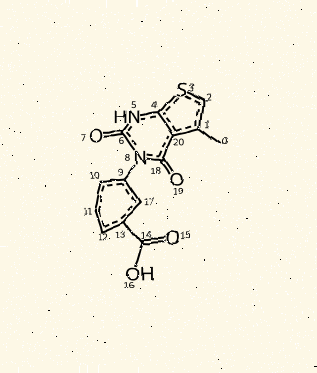 Cc1csc2[nH]c(=O)n(-c3cccc(C(=O)O)c3)c(=O)c12